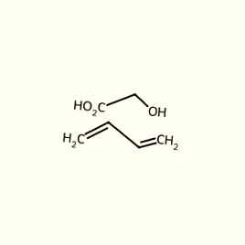 C=CC=C.O=C(O)CO